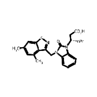 CCC[C@@H](CC(=O)O)n1c(=O)n(Cc2nsc3cc(C)cc(C)c23)c2ccccc21